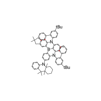 Cc1cc2c3c(c1)N(c1ccc(C(C)(C)C)cc1-c1ccccc1)c1cc4c(cc1B3c1ccc(N3c5ccccc5C(C)(C)C5(C)CCCCC35C)cc1N2c1ccc(C(C)(C)C)cc1-c1ccccc1)CC(C)(C)C4